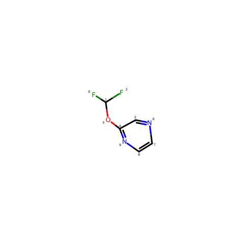 FC(F)Oc1[c]nccn1